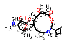 CO[C@]1(C)C[C@@H](C)CN(C)[C@H](C2C[CH]C2)COC(=O)C(C)(C)C(=O)[C@H](C)[C@H]1O[C@@H]1O[C@H](C)C[C@H](N(C)C)[C@H]1O